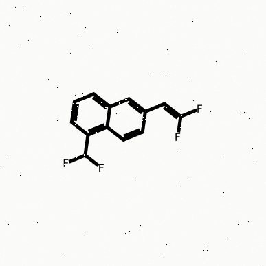 F[C](F)c1cccc2cc(C=C(F)F)ccc12